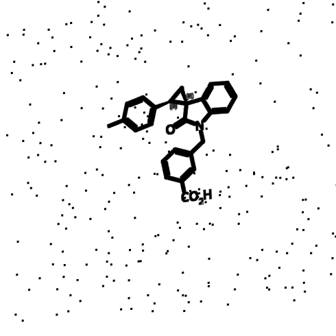 Cc1ccc([C@H]2C[C@@]23C(=O)N(Cc2cccc(C(=O)O)c2)c2ccccc23)cc1